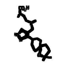 CN(CCN(C)C(=O)O)Cc1c[nH]nc1C1CCC2(CC1)CCC(C)(C)O2